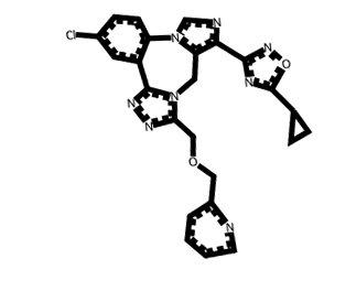 Clc1ccc2c(c1)-c1nnc(COCc3ccccn3)n1Cc1c(-c3noc(C4CC4)n3)ncn1-2